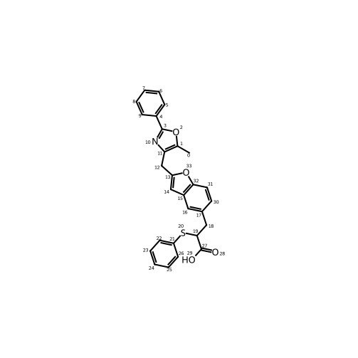 Cc1oc(-c2ccccc2)nc1Cc1cc2cc(CC(Sc3ccccc3)C(=O)O)ccc2o1